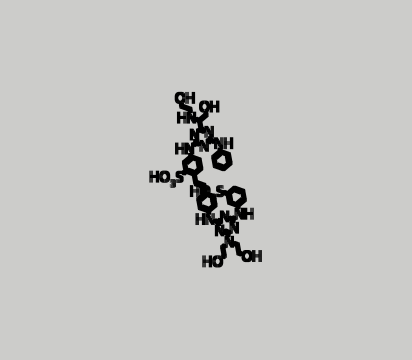 O=S(=O)(O)c1cccc(Nc2nc(Nc3ccc(C=Cc4ccc(Nc5nc(Nc6ccccc6)nc(C(CO)NCCO)n5)cc4S(=O)(=O)O)cc3)nc(N(CCO)CCO)n2)c1